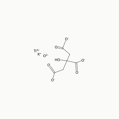 O=C([O-])CC(O)(CC(=O)[O-])C(=O)[O-].[K+].[O-2].[Ti+4]